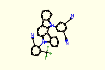 N#Cc1cc(C#N)cc(-n2c3ccccc3c3ccc4c(c5ccccc5n4-c4c(C#N)cccc4C(F)(F)F)c32)c1